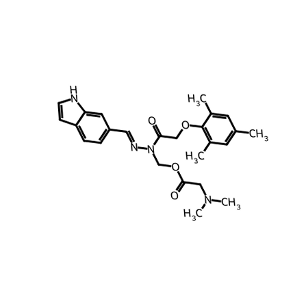 Cc1cc(C)c(OCC(=O)N(COC(=O)CN(C)C)/N=C/c2ccc3cc[nH]c3c2)c(C)c1